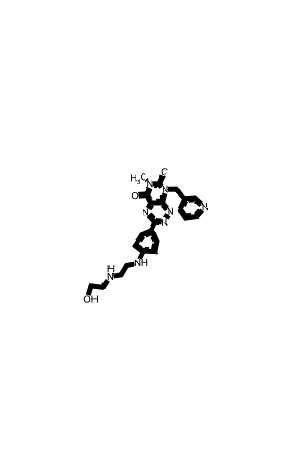 Cn1c(=O)c2nc(-c3ccc(NCCNCCO)cc3)nnc2n(Cc2cccnc2)c1=O